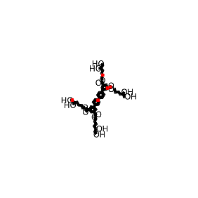 O=C(OCCCCC(O)CO)c1cc(C(=O)OCCCCC(O)CO)cc(-c2ccc(-c3ccc(-c4cc(C(=O)OCCCCC(O)CO)cc(C(=O)OCCCCC(O)CO)c4)cc3)cc2)c1